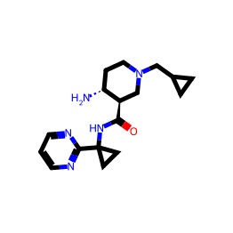 N[C@@H]1CCN(CC2CC2)C[C@H]1C(=O)NC1(c2ncccn2)CC1